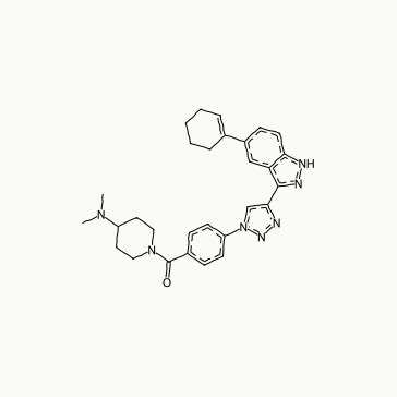 CN(C)C1CCN(C(=O)c2ccc(-n3cc(-c4n[nH]c5ccc(C6=CCCCC6)cc45)nn3)cc2)CC1